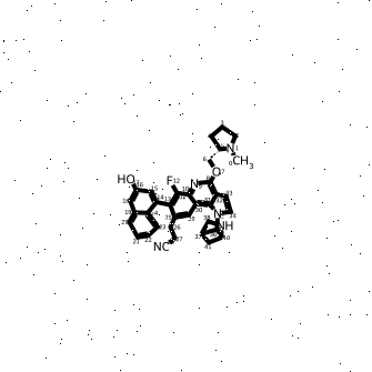 CN1CCC[C@H]1COc1nc2c(F)c(-c3cc(O)cc4ccccc34)c(CCC#N)cc2c2c1ccn2C1C2CNC1C2